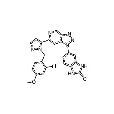 COc1ccc(Cn2nccc2-c2cc3c(cn2)nnn3-c2ccc3[nH]c(=O)[nH]c3c2)c(Cl)c1